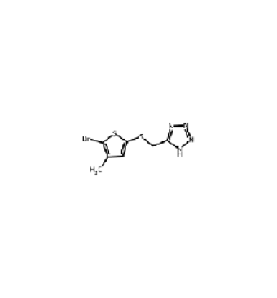 Cc1cc(SCc2nnn[nH]2)sc1Br